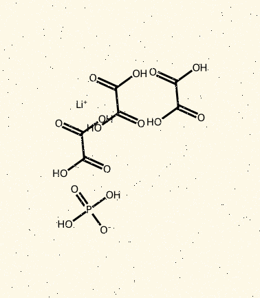 O=C(O)C(=O)O.O=C(O)C(=O)O.O=C(O)C(=O)O.O=P([O-])(O)O.[Li+]